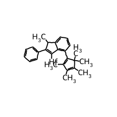 CC1=C(C)C(C)(C)C(c2cccc3c2[C]([Hf])=C(c2ccccc2)C3C)=C1C